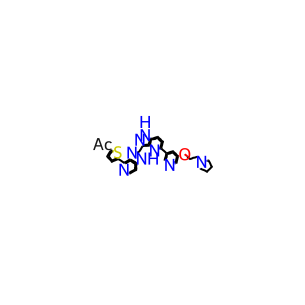 CC(=O)c1ccc(-c2nccc3[nH]c(-c4n[nH]c5ccc(-c6cncc(OCCN7CCCC7)c6)nc45)nc23)s1